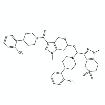 Cn1nc(C(=O)N2CCC(c3ccccc3C(F)(F)F)CC2)c2c1CC(OC(c1nn(C)c3c1CS(=O)(=O)CC3)N1CCC(c3ccccc3C(F)(F)F)CC1)OC2